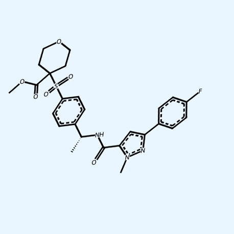 COC(=O)C1(S(=O)(=O)c2ccc([C@@H](C)NC(=O)c3cc(-c4ccc(F)cc4)nn3C)cc2)CCOCC1